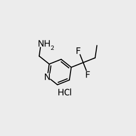 CCC(F)(F)c1ccnc(CN)c1.Cl